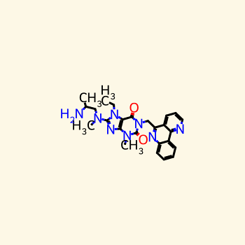 CCn1c(N(C)CC(C)N)nc2c1c(=O)n(Cc1nc3ccccc3c3ncccc13)c(=O)n2C